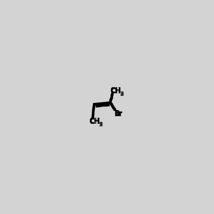 CC=C(C)Br